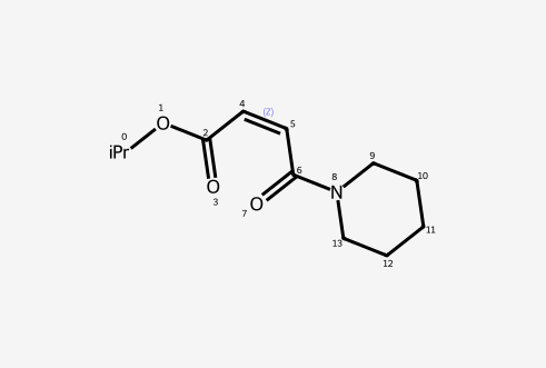 CC(C)OC(=O)/C=C\C(=O)N1CCCCC1